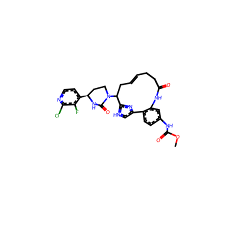 COC(=O)Nc1ccc2c(c1)NC(=O)CC/C=C/CC(N1CC[C@H](c3ccnc(Cl)c3F)NC1=O)c1nc-2c[nH]1